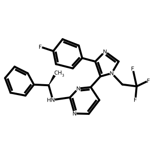 C[C@@H](Nc1nccc(-c2c(-c3ccc(F)cc3)ncn2CC(F)(F)F)n1)c1ccccc1